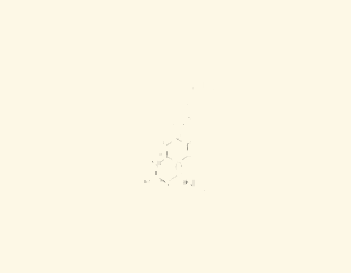 CCCCOc1ccc2c(N)nc(Cl)nc2c1